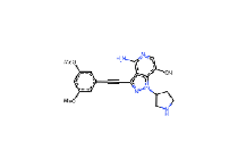 COc1cc(C#Cc2nn(C3CCNC3)c3c(C#N)cnc(N)c23)cc(OC)c1